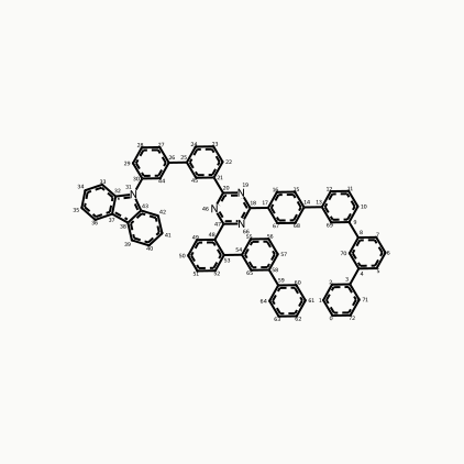 c1ccc(-c2cccc(-c3cccc(-c4ccc(-c5nc(-c6cccc(-c7cccc(-n8c9ccccc9c9ccccc98)c7)c6)nc(-c6ccccc6-c6cccc(-c7ccccc7)c6)n5)cc4)c3)c2)cc1